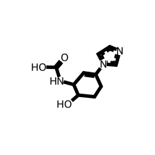 O=C(O)NC1C=C(n2ccnc2)CCC1O